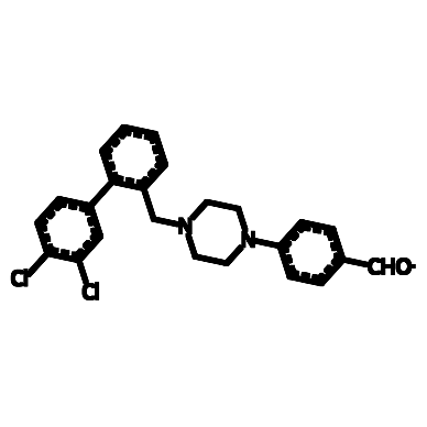 O=[C]c1ccc(N2CCN(Cc3ccccc3-c3ccc(Cl)c(Cl)c3)CC2)cc1